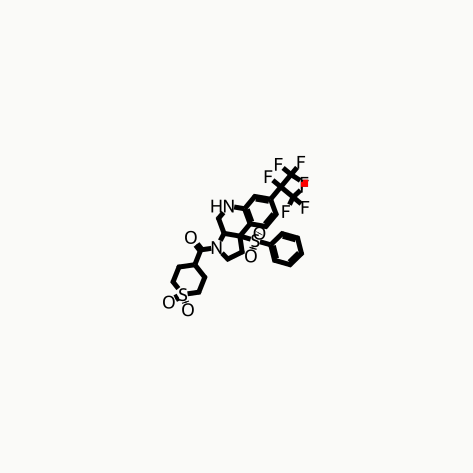 O=C(C1CCS(=O)(=O)CC1)N1CCC2(S(=O)(=O)c3ccccc3)c3ccc(C(F)(C(F)(F)F)C(F)(F)F)cc3NCC12